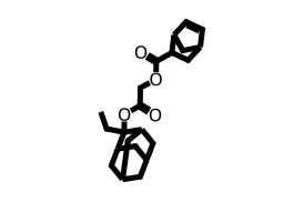 CCC1(OC(=O)COC(=O)C2CC3C=CC2C3)C2CC3CC(C2)CC1C3